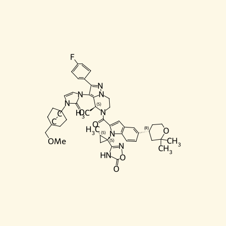 COCC12CCC(n3ccn(-c4c(-c5ccc(F)cc5)nn5c4[C@H](C)N(C(=O)c4cc6cc([C@@H]7CCOC(C)(C)C7)ccc6n4[C@@]4(c6noc(=O)[nH]6)C[C@@H]4C)CC5)c3=O)(CC1)CC2